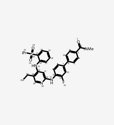 CNC(=O)c1ccc(-c2ccc(Nc3cc(Nc4ccccc4S(=O)(=O)C(C)C)c(CI)cn3)c(F)c2)cc1